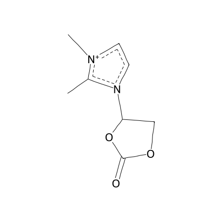 Cc1n(C2COC(=O)O2)cc[n+]1C